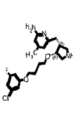 Cc1cc(N)nc(C[C@@H]2CNC[C@@H]2OCCCCOc2cc(F)cc(Cl)c2)c1